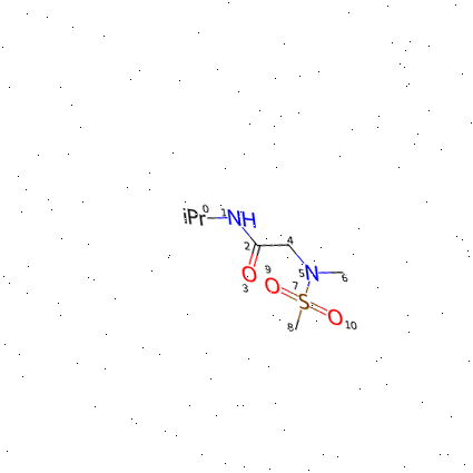 CC(C)NC(=O)CN(C)S(C)(=O)=O